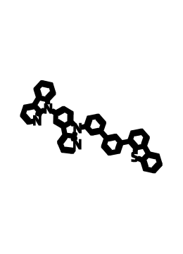 c1cc(-c2cccc(-n3c4ccc(-n5c6ccccc6c6cccnc65)cc4c4cccnc43)c2)cc(-c2cccc3c2sc2ccccc23)c1